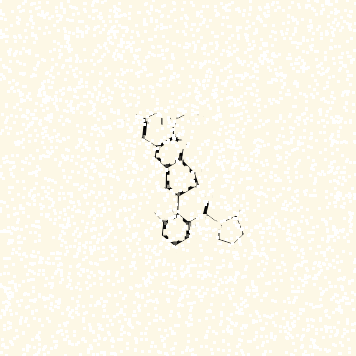 CC(=Cc1cc2cc(-c3c(C)cccc3C(=O)N3CCCC3)ccc2nc1NC(C)(C)C)C(=O)O